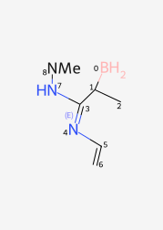 BC(C)/C(=N\C=C)NNC